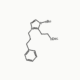 CCCCCCCCCCCCc1n(CCCC)cc[n+]1CCCc1ccccc1